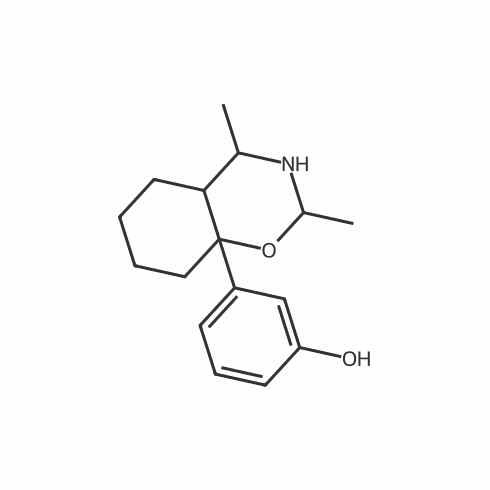 CC1NC(C)C2CCCCC2(c2cccc(O)c2)O1